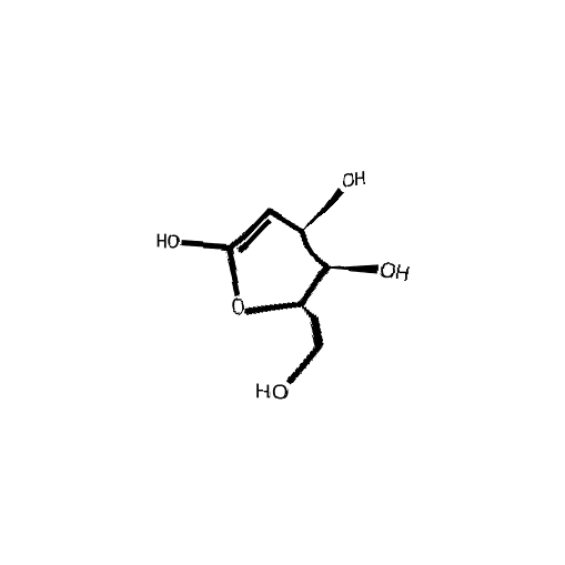 OC[C@H]1OC(O)=C[C@@H](O)[C@H]1O